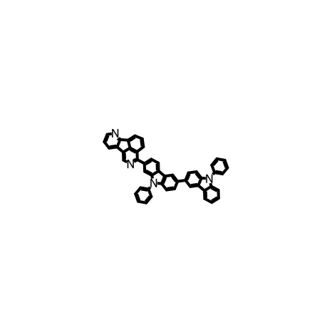 c1ccc(-n2c3ccccc3c3cc(-c4ccc5c(c4)c4ccc(-c6ncc7c8c(cccc68)-c6ncccc6-7)cc4n5-c4ccccc4)ccc32)cc1